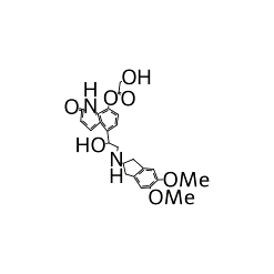 COc1cc2c(cc1OC)CC(NCC(O)c1ccc(OC(=O)CO)c3[nH]c(=O)ccc13)C2